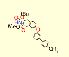 COC(=O)C1(NC(=O)OC(C)(C)C)CCc2ccc(Oc3cccc(-c4ccc(C)cc4)c3)cc2C1